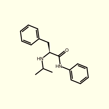 CC(C)N[C@@H](Cc1ccccc1)C(=O)Nc1ccccc1